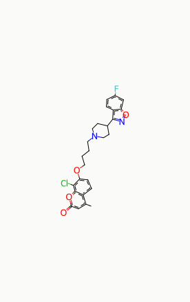 Cc1cc(=O)oc2c(Cl)c(OCCCCN3CCC(c4noc5cc(F)ccc45)CC3)ccc12